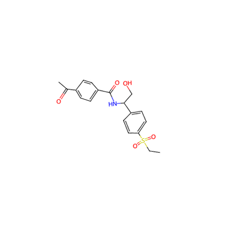 CCS(=O)(=O)c1ccc(C(CO)NC(=O)c2ccc(C(C)=O)cc2)cc1